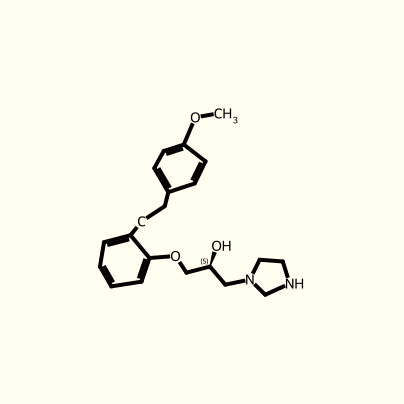 COc1ccc(CCc2ccccc2OC[C@@H](O)CN2CCNC2)cc1